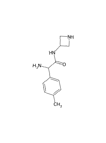 Cc1ccc(C(N)C(=O)NC2CNC2)cc1